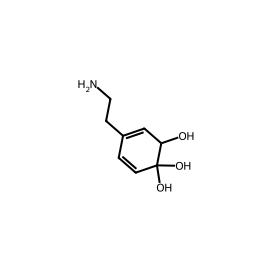 NCCC1=CC(O)C(O)(O)C=C1